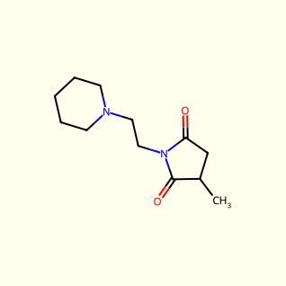 CC1CC(=O)N(CCN2CCCCC2)C1=O